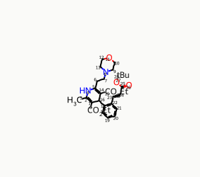 CCOC(=O)C1=C(C)NC(CCN2CCOCC2)=C(C(=O)OCC)C1c1ccccc1C=CC(=O)OC(C)(C)C